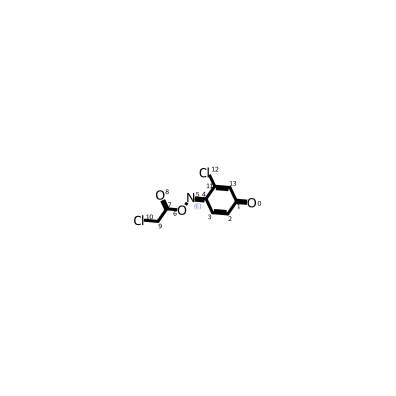 O=C1C=C/C(=N\OC(=O)CCl)C(Cl)=C1